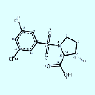 C[C@H]1CCN(S(=O)(=O)c2cc(Cl)cc(Cl)c2)[C@@H]1C(=O)O